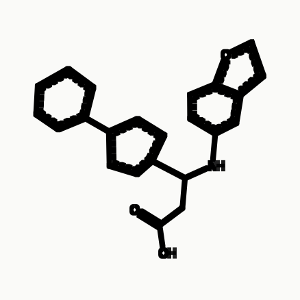 O=C(O)CC(Nc1ccc2occc2c1)c1ccc(-c2ccccc2)cc1